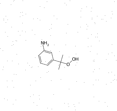 CC(C)(OO)c1cccc(N)c1